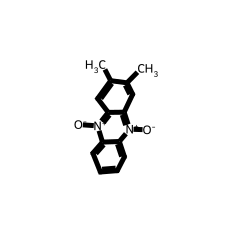 Cc1cc2c(cc1C)[n+]([O-])c1ccccc1[n+]2[O-]